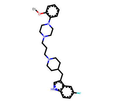 CCOc1ccccc1N1CCN(CCCN2CCC(Cc3c[nH]c4ccc(F)cc34)CC2)CC1